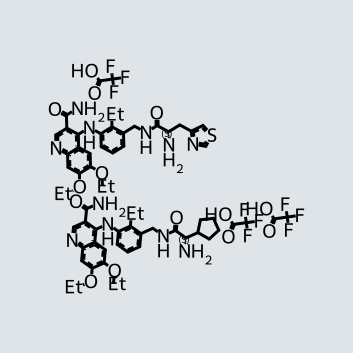 CCOc1cc2ncc(C(N)=O)c(Nc3cccc(CNC(=O)[C@@H](N)C4CCCC4)c3CC)c2cc1OCC.CCOc1cc2ncc(C(N)=O)c(Nc3cccc(CNC(=O)[C@@H](N)Cc4cscn4)c3CC)c2cc1OCC.O=C(O)C(F)(F)F.O=C(O)C(F)(F)F.O=C(O)C(F)(F)F